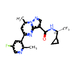 Cc1ncc(F)cc1-c1cc(C)n2ncc(C(=O)N[C@@H](C3CC3)C(F)(F)F)c2n1